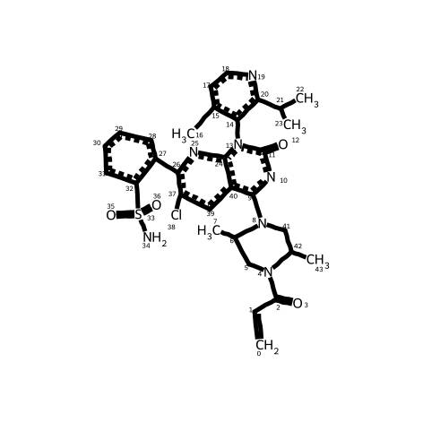 C=CC(=O)N1CC(C)N(c2nc(=O)n(-c3c(C)ccnc3C(C)C)c3nc(-c4ccccc4S(N)(=O)=O)c(Cl)cc23)CC1C